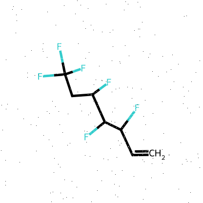 C=CC(F)C(F)C(F)CC(F)(F)F